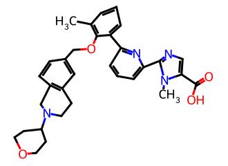 Cc1cccc(-c2cccc(-c3ncc(C(=O)O)n3C)n2)c1OCc1ccc2c(c1)CCN(C1CCOCC1)C2